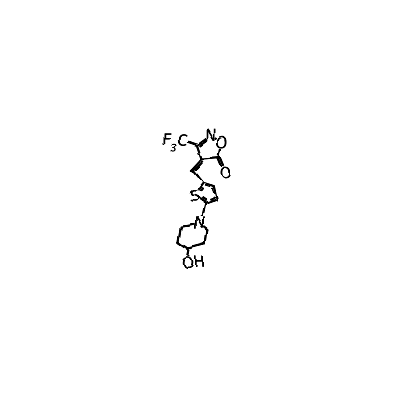 O=C1ON=C(C(F)(F)F)/C1=C/c1ccc(N2CCC(O)CC2)s1